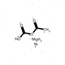 CC(=O)OC(=O)O.[MgH2].[Ni]